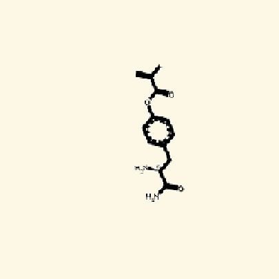 C=C(C)C(=O)Oc1ccc(C[C@H](N)C(N)=O)cc1